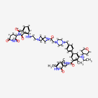 CCN(c1cc(-c2ccc(CN3CCN(CC(=O)N4CC5(CN(CCNc6cccc7c6C(=O)N(C6CCC(=O)NC6=O)C7=O)C5)C4)CC3)cc2)cc(C(=O)NCc2c(C)cc(C)[nH]c2=O)c1C)C1CCOCC1